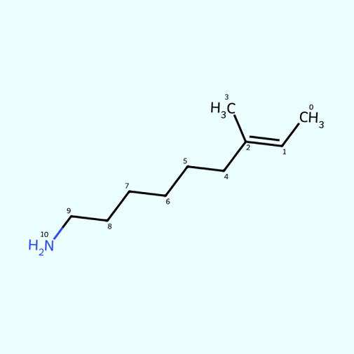 C/C=C(\C)CCCCCCN